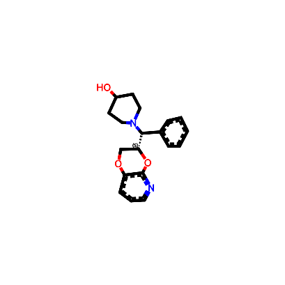 OC1CCN(C(c2ccccc2)[C@H]2COc3cccnc3O2)CC1